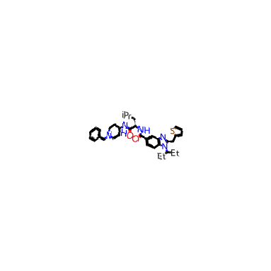 CCC(CC)n1c(Cc2cccs2)nc2cc(C(=O)N[C@@H](CC(C)C)C(=O)NC3CCN(Cc4ccccc4)CC3)ccc21